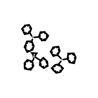 c1cc[c]([Ni]2([c]3ccccc3)[CH2][CH2]2)cc1.c1ccc(P(c2ccccc2)c2ccccc2)cc1.c1ccc(P(c2ccccc2)c2ccccc2)cc1